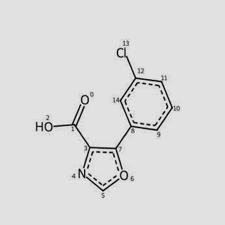 O=C(O)c1ncoc1-c1cccc(Cl)c1